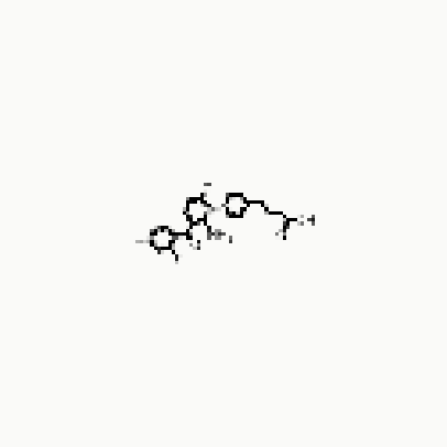 Nc1c(C(=O)c2ccc(F)cc2F)ccc(=O)n1-c1ccc(CCCC(=O)O)cc1